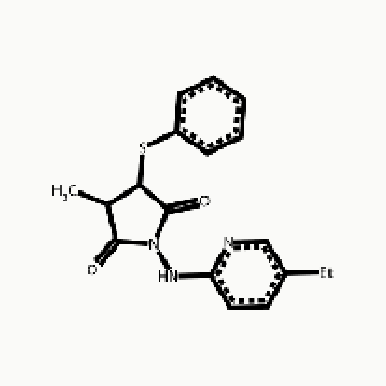 CCc1ccc(NN2C(=O)C(C)C(Sc3ccccc3)C2=O)nc1